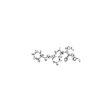 COC(=O)C(C)n1ccc2c(OCc3ccccc3)cccc21